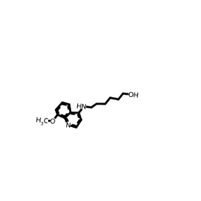 COc1cccc2c(NCCCCCCO)ccnc12